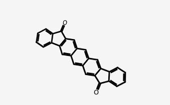 O=c1c2ccccc2c2cc3cc4cc5c(=O)c6ccccc6c5cc4cc3cc12